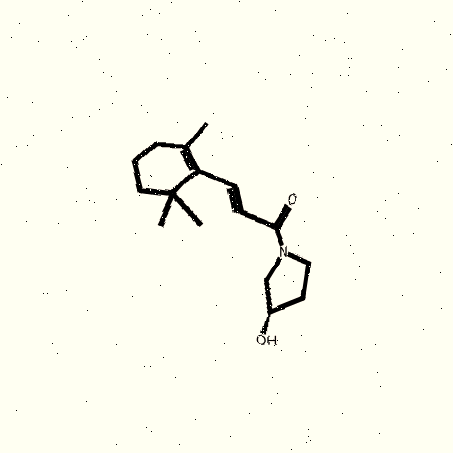 CC1=C(C=CC(=O)N2CC[C@@H](O)C2)C(C)(C)CCC1